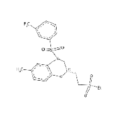 CCS(=O)(=O)CC[C@H]1CN(S(=O)(=O)c2cccc(C(F)(F)F)c2)c2cc(C)ccc2O1